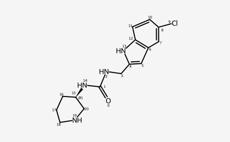 O=C(NCc1cc2cc(Cl)ccc2[nH]1)N[C@@H]1CCCNC1